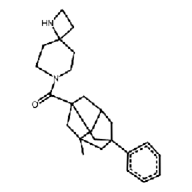 CC12CC3CC(C(=O)N4CCC5(CCN5)CC4)(C1)CC(c1ccccc1)(C3)C2